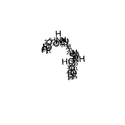 O=C(Cc1cccc(OC(F)(F)F)c1)Nc1ccc(CCCCc2nnc(NC(O)Cc3cccc(OC(F)(F)F)c3)s2)nn1